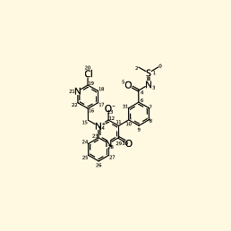 CS(C)=NC(=O)c1cccc(-c2c([O-])[n+](Cc3ccc(Cl)nc3)c3ccccn3c2=O)c1